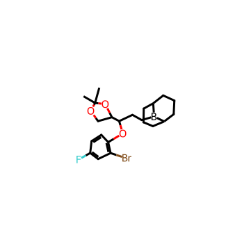 CC1(C)OCC(C(CCB2C3CCCC2CCC3)Oc2ccc(F)cc2Br)O1